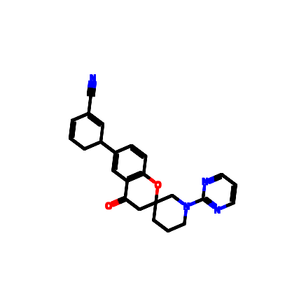 N#CC1=CC(c2ccc3c(c2)C(=O)CC2(CCCN(c4ncccn4)C2)O3)CC=C1